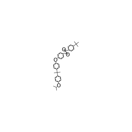 CC(C)Oc1ccc(C(C)(C)c2ccc(Oc3ccc(S(=O)(=O)c4ccc(C(C)(C)C)cc4)cc3)cc2)cc1